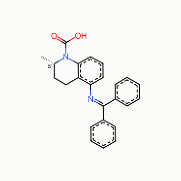 C[C@H]1CCc2c(N=C(c3ccccc3)c3ccccc3)cccc2N1C(=O)O